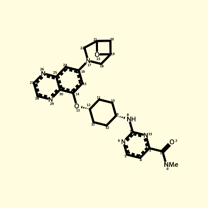 CNC(=O)c1ccnc(N[C@H]2CC[C@@H](Oc3cc(N4CC5CC(C4)O5)cc4nccnc34)CC2)n1